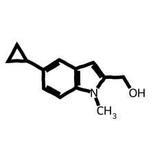 Cn1c(CO)cc2cc(C3CC3)ccc21